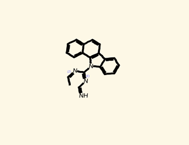 C/C=N\C(=N/C=N)n1c2ccccc2c2ccc3ccccc3c21